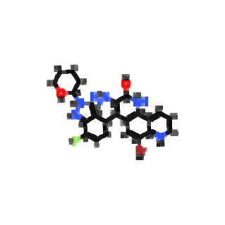 Nc1c(-c2ccc(F)c3nn(C4CCCCO4)cc23)c2cc(Br)c3ncccc3c2[nH]c1=O